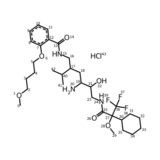 COCCCCOc1ccccc1C(=O)NCC(CC(N)C(O)CNC(=O)C(OC)(C1CCCCC1)C(F)(F)F)C(C)C.Cl